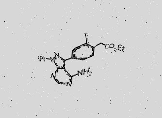 CCOC(=O)Cc1ccc(-c2nn(C(C)C)c3ncnc(N)c23)cc1F